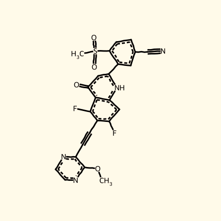 COc1nccnc1C#Cc1c(F)cc2[nH]c(-c3cc(C#N)ccc3S(C)(=O)=O)cc(=O)c2c1F